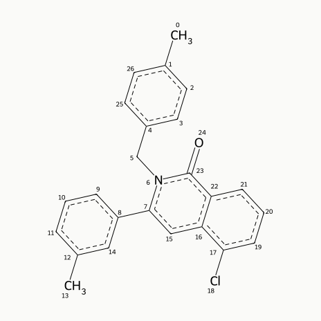 Cc1ccc(Cn2c(-c3cccc(C)c3)cc3c(Cl)cccc3c2=O)cc1